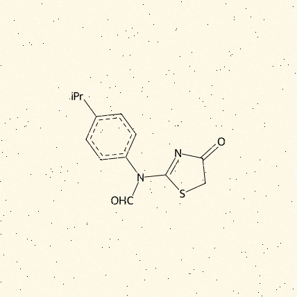 CC(C)c1ccc(N(C=O)C2=NC(=O)CS2)cc1